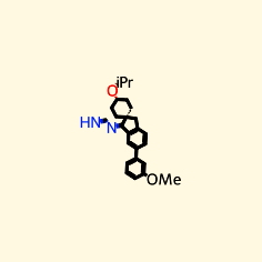 COc1cccc(-c2ccc3c(c2)/C(=N/C=N)[C@]2(CC[C@H](OC(C)C)CC2)C3)c1